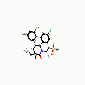 CC[C@@H](CS(=O)(=O)CC)N1C(=O)[C@](C)(CC(=O)O)C[C@H](c2cc(F)cc(Cl)c2)[C@H]1c1ccc(Cl)cc1